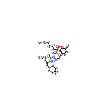 CNC[C@H](CC1CCC(F)(F)CC1)NC(=O)N1CCOC(C(O)(CCCCOC)c2cccc(Cl)c2)C1